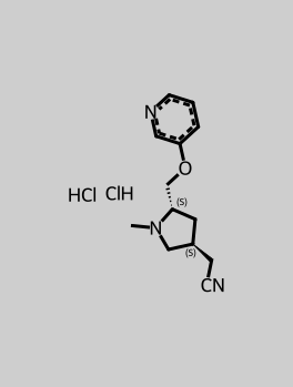 CN1C[C@H](CC#N)C[C@H]1COc1cccnc1.Cl.Cl